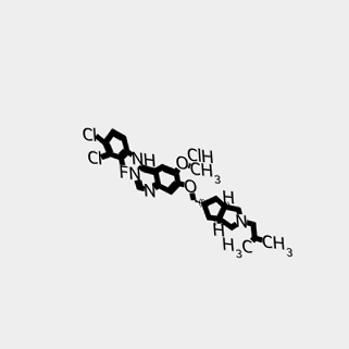 COc1cc2c(Nc3ccc(Cl)c(Cl)c3F)ncnc2cc1OC[C@@H]1C[C@@H]2CN(CC(C)C)C[C@@H]2C1.Cl